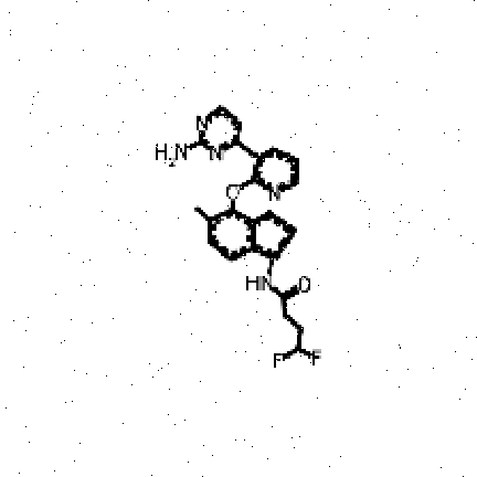 Cc1ccc2c(NC(=O)CCC(F)F)cccc2c1Oc1ncccc1-c1ccnc(N)n1